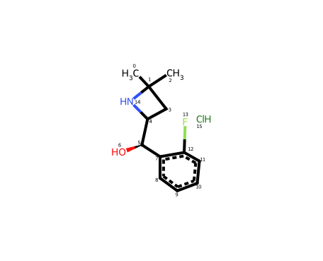 CC1(C)CC([C@H](O)c2ccccc2F)N1.Cl